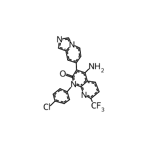 Nc1c(-c2ccn3cncc3c2)c(=O)n(-c2ccc(Cl)cc2)c2nc(C(F)(F)F)ccc12